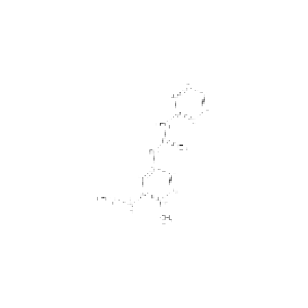 CCOC(=O)Nc1cc(NC(=O)Nc2ccccc2)ccc1C